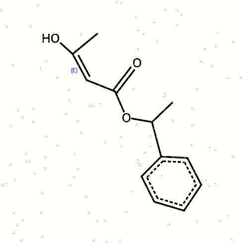 C/C(O)=C\C(=O)OC(C)c1ccccc1